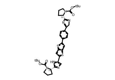 CC(C)(C)OC(=O)N1CCC[C@H]1C1=NCC(c2ccc(-c3cc4sc(-c5cnc([C@@H]6CCCN6C(=O)OC(C)(C)C)[nH]5)cc4s3)cc2)=N1